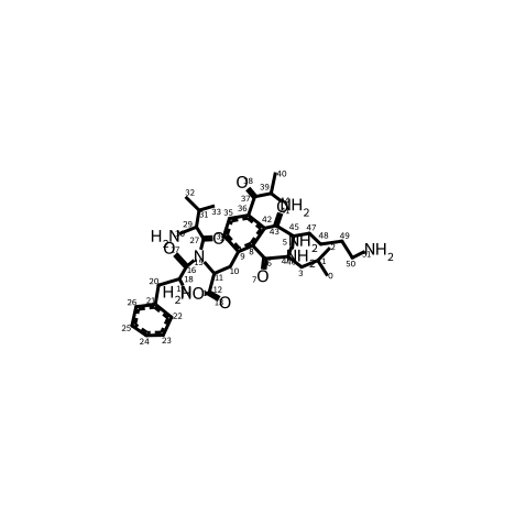 CC(C)CC(N)C(=O)c1c(CC(C(=O)O)N(C(=O)C(N)Cc2ccccc2)C(=O)C(N)C(C)C)ccc(C(=O)C(C)N)c1C(=O)C(N)CCCCN